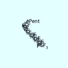 CCCCCc1ccc(C(F)(F)Oc2ccc(-c3ccc(-c4ccc(-c5cc(F)c(C(F)(F)F)c(F)c5)c(F)c4)c(F)c3)cc2)c(F)c1